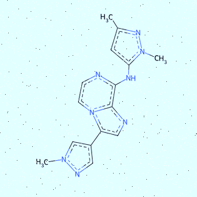 Cc1cc(Nc2nccn3c(-c4cnn(C)c4)cnc23)n(C)n1